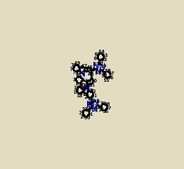 FC(F)(F)c1cccc2c1c1cc(ccc1-n1c3ccccc3c3cc(-c4nc(-c5ccccc5)nc(-c5ccccc5)n4)ccc31)c1cc3c(cc1-c1nc(-c4ccccc4)nc(-c4ccccc4)n1)c1ccccc1n32